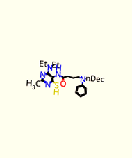 CCCCCCCCCCN(CCCC(=O)Nc1c(S)nc(C)nc1N(CC)CC)c1ccccc1